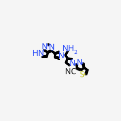 N#Cc1c(N2CCC(C(CN)n3ccc(-c4ncnc5[nH]ccc45)c3)C2)ncc2ccsc12